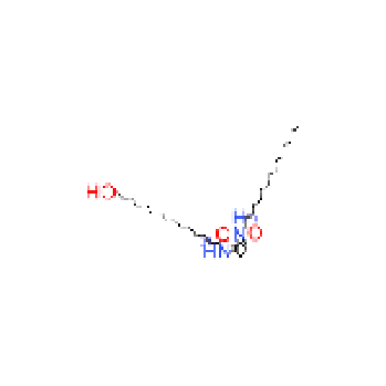 CCCCCCCCCCCC/C=C/C(=O)N[C@@H]1CC[C@H]1NC(=O)/C=C/CCCCCCCCCCCCO